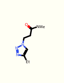 CCc1cn(CCC(=O)NC)nn1